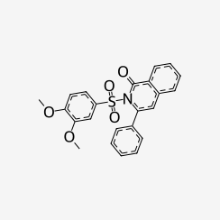 COc1ccc(S(=O)(=O)n2c(-c3ccccc3)cc3ccccc3c2=O)cc1OC